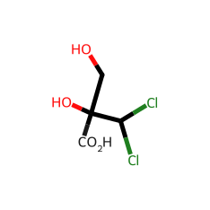 O=C(O)C(O)(CO)C(Cl)Cl